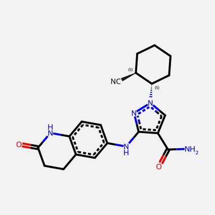 N#C[C@H]1CCCC[C@@H]1n1cc(C(N)=O)c(Nc2ccc3c(c2)CCC(=O)N3)n1